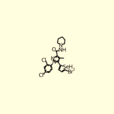 Cc1c(C(=O)NN2CCCCC2)nn(-c2ccc(Cl)cc2Cl)c1C1=CC=C(Br)[SeH2]1